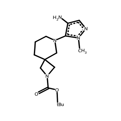 Cn1ncc(N)c1N1CCCC2(CN(C(=O)OC(C)(C)C)C2)C1